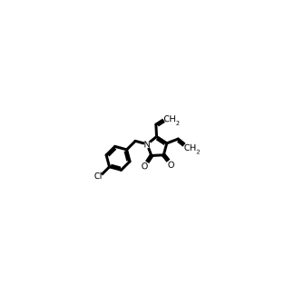 C=CC1=C(C=C)N(Cc2ccc(Cl)cc2)C(=O)C1=O